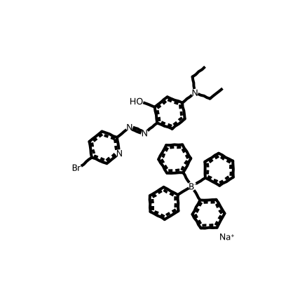 CCN(CC)c1ccc(N=Nc2ccc(Br)cn2)c(O)c1.[Na+].c1ccc([B-](c2ccccc2)(c2ccccc2)c2ccccc2)cc1